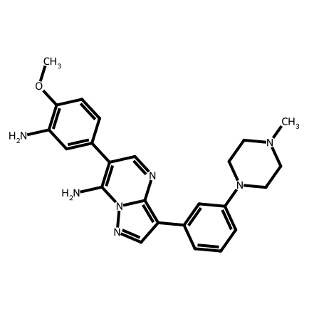 COc1ccc(-c2cnc3c(-c4cccc(N5CCN(C)CC5)c4)cnn3c2N)cc1N